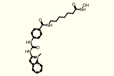 Cn1c(NC(=O)Nc2ccc(C(=O)NCCCCCCC(=O)NO)cc2)cc2ccccc21